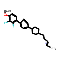 C/C=C/CCC1CCC(c2ccc(-c3ccc(OCCCCCCCC)c(F)c3F)cc2)CC1